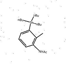 [CH2]C(=O)Nc1ccc[c]([Sn]([CH2]CCC)([CH2]CCC)[CH2]CCC)c1C